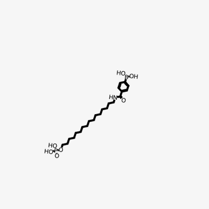 O=C(NCCCCCCCCCCCCCCCCOP(=O)(O)O)c1ccc(B(O)O)cc1